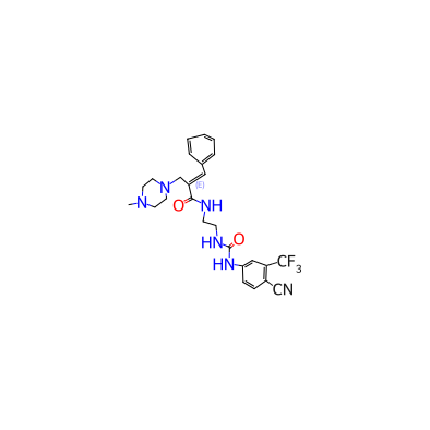 CN1CCN(C/C(=C\c2ccccc2)C(=O)NCCNC(=O)Nc2ccc(C#N)c(C(F)(F)F)c2)CC1